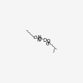 CCCCCCCc1ccc(-c2ncc(-c3ccc(OC(=O)CCCCCC(C)CCC)cc3)cn2)cc1